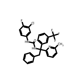 Cc1cccc(C(Cc2ccccc2)(NC(=O)Nc2ccc(F)c(Cl)c2)c2cccc(C(F)(F)F)c2)n1